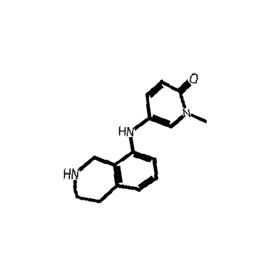 Cn1cc(Nc2cccc3c2CNCC3)ccc1=O